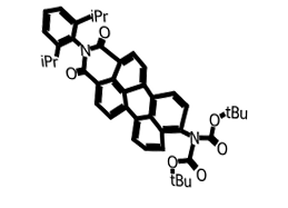 CC(C)c1cccc(C(C)C)c1N1C(=O)c2ccc3c4cccc5c(N(C(=O)OC(C)(C)C)C(=O)OC(C)(C)C)ccc(c6ccc(c2c36)C1=O)c54